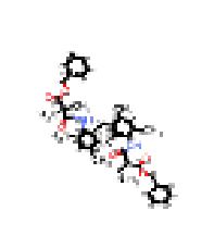 CCC(C(=O)Nc1c(C)cc(C)c(Cc2cc(C)cc(C)c2NC(=O)C(C)(C)C(=O)OCc2ccccc2)c1C)C(=O)OCc1ccccc1